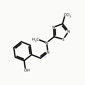 CN(/N=C\c1ccccc1O)c1nc(C(Cl)(Cl)Cl)ns1